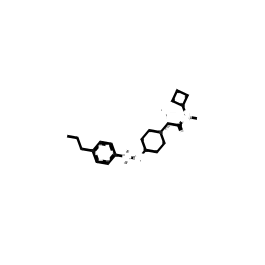 CCCc1ccc(S(=O)(=O)NC2CCC([C@H](N)C(=O)N(C)C3CCC3)CC2)cc1